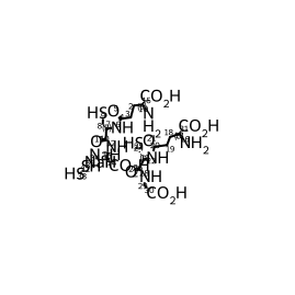 N[C@@H](CCC(=O)N[C@@H](CS)C(=O)NCC(=O)O)C(=O)O.N[C@@H](CCC(=O)N[C@@H](CS)C(=O)NCC(=O)O)C(=O)O.SS.[NaH].[NaH]